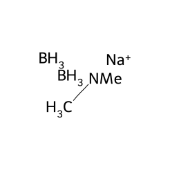 B.B.C[N-]C.[Na+]